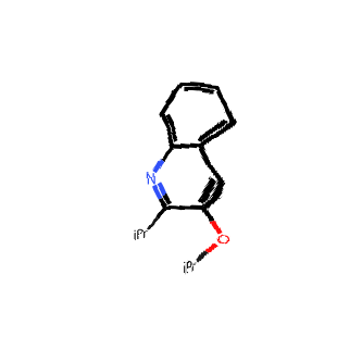 CC(C)Oc1cc2ccccc2nc1C(C)C